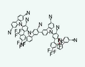 N#Cc1ccc2c(c1)c1cc(-c3cc4c5ccc(C#N)cc5n(-c5cc(C#N)c(-n6c7cc(C#N)ccc7c7ccc(C#N)cc76)cc5-c5ccc(C(F)(F)F)cc5C(F)(F)F)c4cc3C#N)ccc1n2-c1cc(-c2ccc(C(F)(F)F)cc2C(F)(F)F)c(-n2c3ccccc3c3cc(C#N)ccc32)cc1C#N